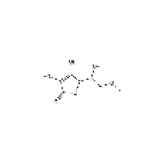 O=C1OC(C(O)COI)C(O)=C1O